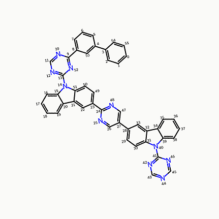 c1ccc(-c2cccc(-c3ncnc(-n4c5ccccc5c5cc(-c6ncc(-c7ccc8c(c7)c7ccccc7n8-c7ncncn7)cn6)ccc54)n3)c2)cc1